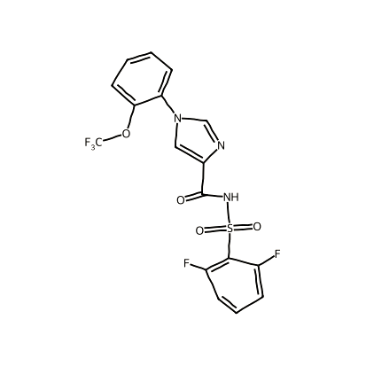 O=C(NS(=O)(=O)c1c(F)cccc1F)c1cn(-c2ccccc2OC(F)(F)F)cn1